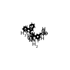 CC(c1cc2ccccn2c1-c1ccccn1)n1nc(-c2cc(F)cc(CN[SH](=O)=O)c2)c2c(N)ncnc21